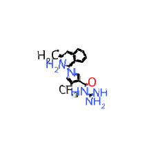 C=C/C=c1/cccc/c1=C(/N)n1cc(C(=O)NC(=N)N)c(C(F)(F)F)c1